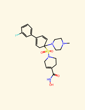 CN1CCN(C2(S(=O)(=O)N3CC=C(C(=O)NO)CC3)C=CC(c3cccc(F)c3)=CC2)CC1